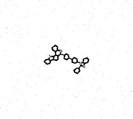 c1ccc(-c2nc3ccccc3n2-c2ccc(-c3ccc(-c4nc5ccccc5c5c4ccc4c6ccccc6sc45)cc3)cc2)cc1